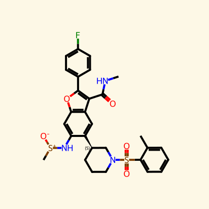 CNC(=O)c1c(-c2ccc(F)cc2)oc2cc(N[S+](C)[O-])c([C@@H]3CCCN(S(=O)(=O)c4ccccc4C)C3)cc12